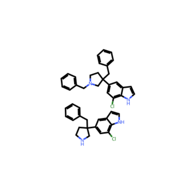 Clc1cc(C2(Cc3ccccc3)CCN(Cc3ccccc3)C2)cc2cc[nH]c12.Clc1cc(C2(Cc3ccccc3)CCNC2)cc2cc[nH]c12